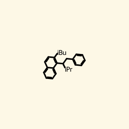 CCC(C)c1ccc2ccccc2c1[C](Cc1ccccc1)C(C)C